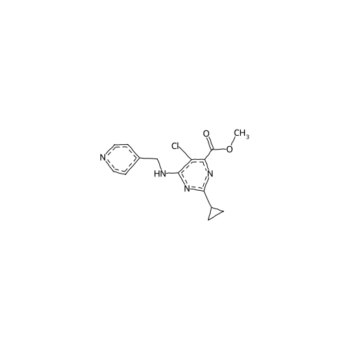 COC(=O)c1nc(C2CC2)nc(NCc2ccncc2)c1Cl